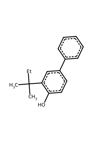 CCC(C)(C)c1cc(-c2ccccc2)ccc1O